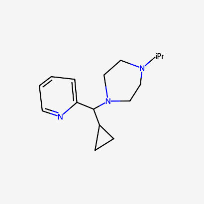 CC(C)N1CCN(C(c2ccccn2)C2CC2)CC1